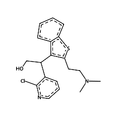 CN(C)CCc1sc2ccccc2c1C(CO)c1cccnc1Cl